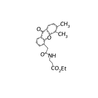 CCOC(=O)CCNC(=O)Cc1cccc2c(=O)c3ccc(C)c(C)c3oc12